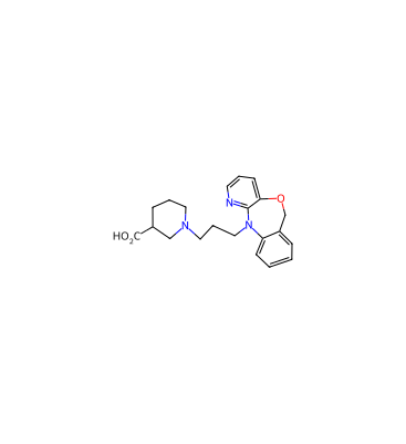 O=C(O)C1CCCN(CCCN2c3ccccc3COc3cccnc32)C1